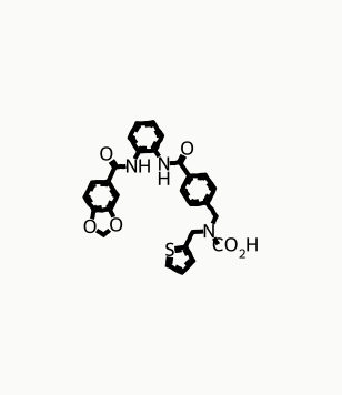 O=C(Nc1ccccc1NC(=O)c1ccc2c(c1)OCO2)c1ccc(CN(Cc2cccs2)C(=O)O)cc1